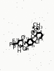 CCS(=O)(=O)c1cccnc1Oc1cc(-n2c(=O)cc(C(F)(F)F)[nH]c2=O)c(F)cc1Cl